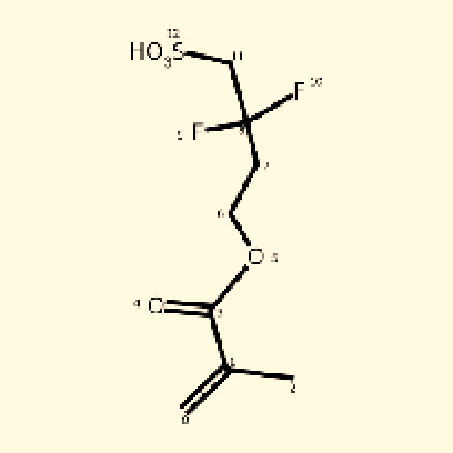 C=C(C)C(=O)OCCC(F)(F)CS(=O)(=O)O